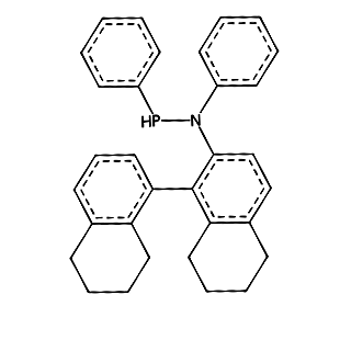 c1ccc(PN(c2ccccc2)c2ccc3c(c2-c2cccc4c2CCCC4)CCCC3)cc1